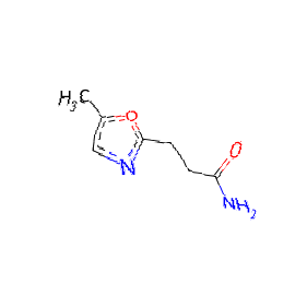 Cc1cnc(CCC(N)=O)o1